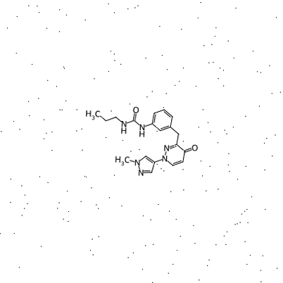 CCCNC(=O)Nc1cccc(Cc2nn(-c3cnn(C)c3)ccc2=O)c1